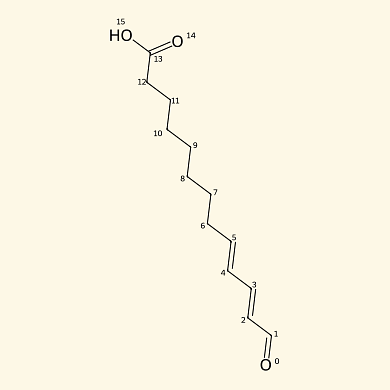 O=C/C=C/C=C/CCCCCCCC(=O)O